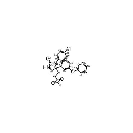 CS(=O)(=O)CCC1(c2cccc(Oc3cncnc3)c2)CNC(=O)N1c1ccc(Cl)cc1